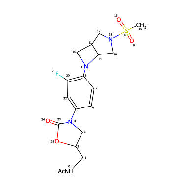 CC(=O)NCC1CN(c2ccc(N3CC4CN(S(C)(=O)=O)CC43)c(F)c2)C(=O)O1